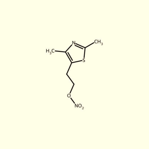 Cc1nc(C)c(CCO[N+](=O)[O-])s1